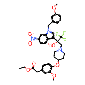 CCOC(=O)Cc1ccc(OC2CCN(CC(O)(c3cn(Cc4cccc(OC)c4)c4cc([N+](=O)[O-])ccc34)C(F)(F)F)CC2)c(OC)c1